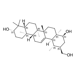 C[C@H]1[C@H](CO)C[C@H](O)[C@]2(C)CC[C@]3(C)C(=CC[C@@H]4[C@@]5(C)CC[C@H](O)C(C)(C)[C@@H]5CC[C@]43C)[C@H]12